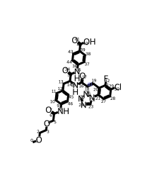 COCCOCC(=O)Nc1ccc(CC(NC(=O)/C=C/c2c(-n3cnnn3)ccc(Cl)c2F)C(=O)Nc2ccc(C(=O)O)cc2)cc1